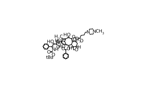 CC1=C2[C@@H](O)C(=O)[C@@]3(C)C([C@@H]4CO[C@@H]4C[C@@H]3OC(=O)CCCN3CCN(C)CC3)[C@H](OC(=O)c3ccccc3)[C@](O)(C[C@@H]1OC(=O)[C@H](O)[C@@H](NC(=O)OC(C)(C)C)c1ccccc1)C2(C)C